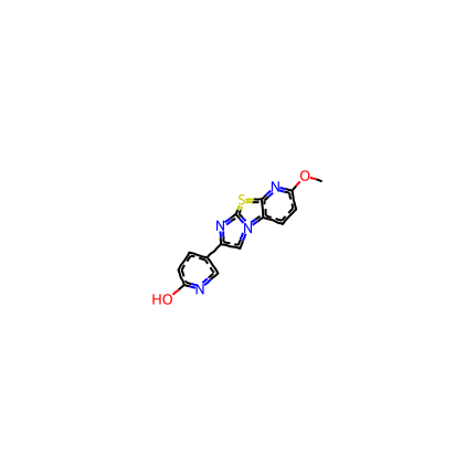 COc1ccc2c(n1)sc1nc(-c3ccc(O)nc3)cn12